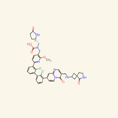 COc1nc(-c2cccc(-c3cccc(-c4ccn5c(=O)c(CNC6CC7(CCNC7=O)C6)cnc5c4)c3Cl)c2Cl)ccc1CN(C[C@@H]1CCC(=O)N1)C(=O)O